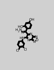 NN=C(c1ccc(O)cc1O)c1nc2nonc2nc1Nc1ccc(Cl)c(Cl)c1